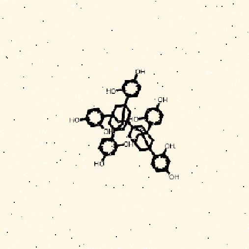 Oc1ccc(C23CC4CC(c5ccc(O)cc5O)(C2)CC(C25CC6(c7ccc(O)cc7O)CC(c7ccc(O)cc7O)(CC(c7ccc(O)cc7O)(C6)C2)C5)(C4)C3)c(O)c1